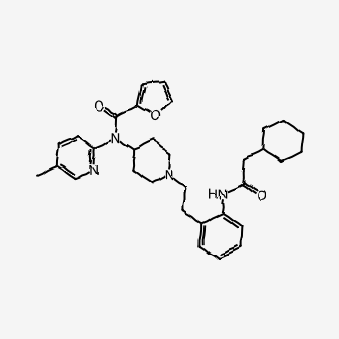 Cc1ccc(N(C(=O)c2ccco2)C2CCN(CCc3ccccc3NC(=O)CC3CCCCC3)CC2)nc1